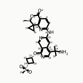 C[C@H]1OC(=O)c2ccc(Nc3cc4c(C(C)(C)N)cnc(O[C@H]5C[C@@H](S(C)(=O)=O)C5)c4cn3)nc2C12CC2